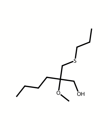 CCCCC(CO)(CSCCC)OC